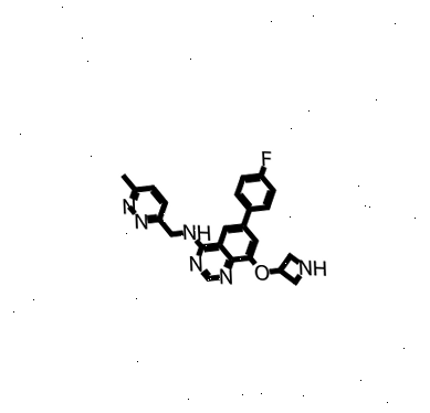 Cc1ccc(CNc2ncnc3c(OC4CNC4)cc(-c4ccc(F)cc4)cc23)nn1